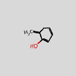 C=C1CC=CC=C1O